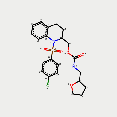 O=C(NCC1CCCO1)OCC1CCc2ccccc2N1S(=O)(=O)c1ccc(Cl)cc1